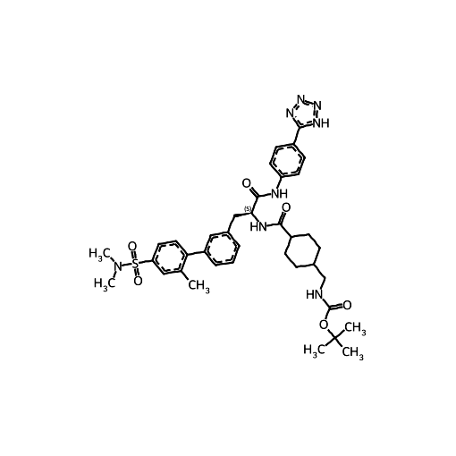 Cc1cc(S(=O)(=O)N(C)C)ccc1-c1cccc(C[C@H](NC(=O)C2CCC(CNC(=O)OC(C)(C)C)CC2)C(=O)Nc2ccc(-c3nnn[nH]3)cc2)c1